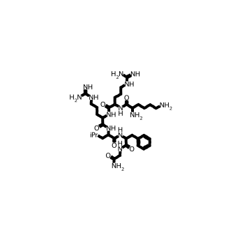 CC(C)CC(NC(=O)C(CCCNC(=N)N)NC(=O)C(CCCNC(=N)N)NC(=O)C(N)CCCCN)C(=O)NC(Cc1ccccc1)C(=O)NCC(N)=O